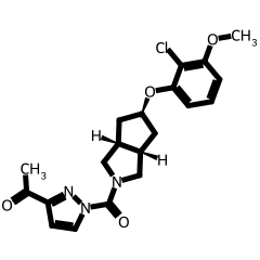 COc1cccc(O[C@H]2C[C@@H]3CN(C(=O)n4ccc(C(C)=O)n4)C[C@@H]3C2)c1Cl